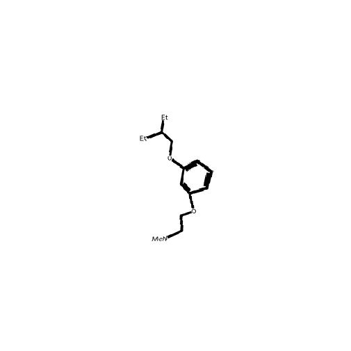 CCC(CC)COc1cccc(OCCNC)c1